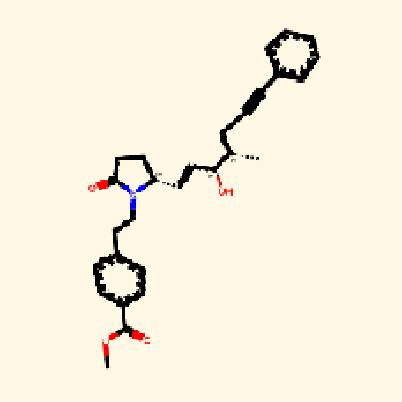 COC(=O)c1ccc(CCN2C(=O)CC[C@@H]2C=C[C@H](O)[C@@H](C)CC#Cc2ccccc2)cc1